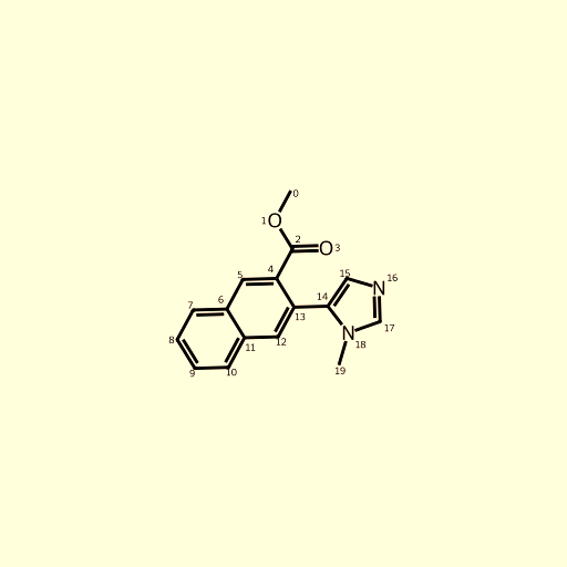 COC(=O)c1cc2ccccc2cc1-c1cncn1C